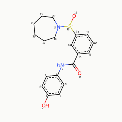 O=C(Nc1ccc(O)cc1)c1cccc([S+]([O-])N2CCCCCC2)c1